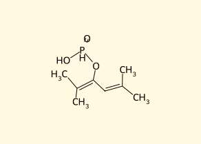 CC(C)=CC(O[PH](=O)O)=C(C)C